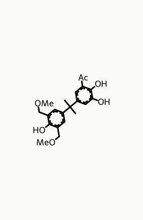 COCc1cc(C(C)(C)c2cc(O)c(O)c(C(C)=O)c2)cc(COC)c1O